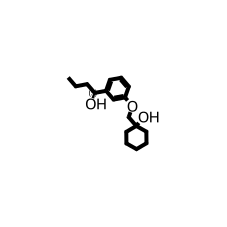 CCC[C@H](O)c1cccc(OCC2(O)CCCCC2)c1